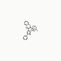 CC(C)(C)N(Cc1ccccc1)C(=O)n1cnc(-c2ccccc2)c1